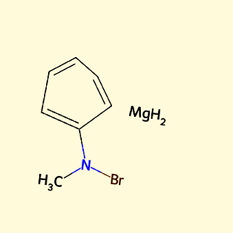 CN(Br)c1ccccc1.[MgH2]